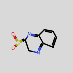 O=S(=O)=C1CN=c2ccccc2=N1